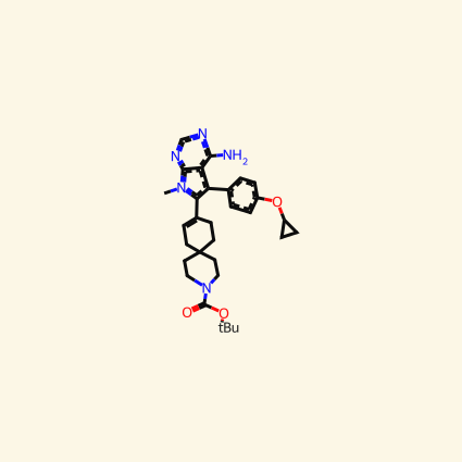 Cn1c(C2=CCC3(CC2)CCN(C(=O)OC(C)(C)C)CC3)c(-c2ccc(OC3CC3)cc2)c2c(N)ncnc21